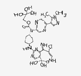 Cc1c(-c2cnc(N(C(=O)OCC(O)(O)O)[C@H]3CC[C@H](Nc4ncc5c(n4)C(=N)/C(Cl)=C\NOC5(O)O)CC3)cn2)cnn1C